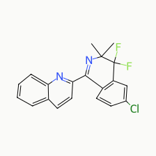 CC1(C)N=C(c2ccc3ccccc3n2)c2ccc(Cl)cc2C1(F)F